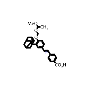 COC(C)OCOc1ccc(/C=C/c2ccc(C(=O)O)cc2)cc1C12CC3CC(CC(C3)C1)C2